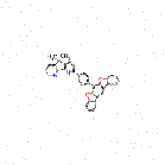 CC1(C)c2cccnc2-c2nc(-c3ccc(-c4c5oc6ccccc6c5cc5c4oc4ccccc45)cc3)ccc21